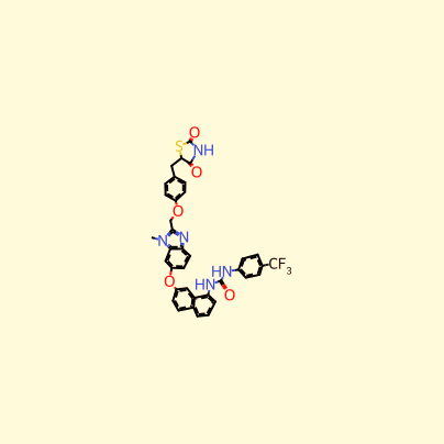 Cn1c(COc2ccc(CC3SC(=O)NC3=O)cc2)nc2ccc(Oc3ccc4cccc(NC(=O)Nc5ccc(C(F)(F)F)cc5)c4c3)cc21